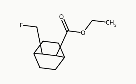 CCOC(=O)C1C2CCC(CC2)C1CF